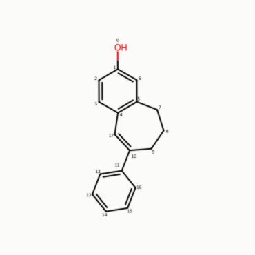 Oc1ccc2c(c1)CCCC(c1ccccc1)=C2